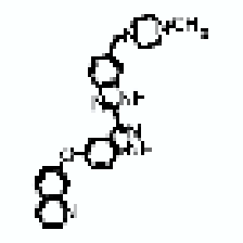 CN1CCN(Cc2ccc3nc(-c4n[nH]c5ccc(Oc6ccc7cccnc7c6)cc45)[nH]c3c2)CC1